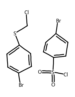 ClCSc1ccc(Br)cc1.O=S(=O)(Cl)c1ccc(Br)cc1